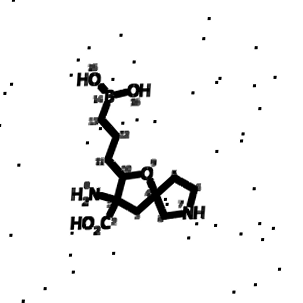 NC1(C(=O)O)CC2(CCNC2)OC1CCCB(O)O